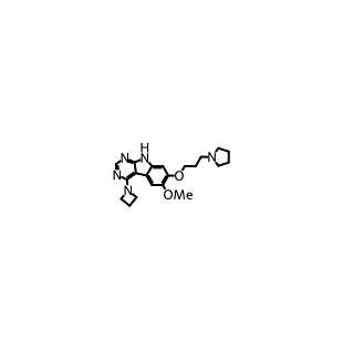 COc1cc2c(cc1OCCCN1CCCC1)[nH]c1ncnc(N3CCC3)c12